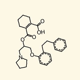 O=C(O)C1=C(C(=O)OC(COc2ccccc2CCc2ccccc2)CN2CCCC2)CCCC1